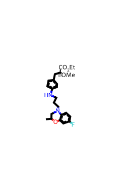 CCOC(=O)[C@H](Cc1ccc(NCCCN2CC(C)Oc3cc(F)ccc32)cc1)OC